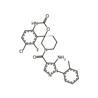 Cc1ccccc1-n1ncc(C(=O)N2CCC[C@@]3(C2)OC(=O)Nc2ccc(Cl)c(F)c23)c1N